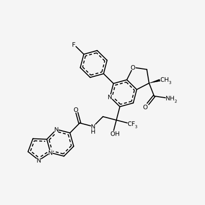 C[C@]1(C(N)=O)COc2c1cc(C(O)(CNC(=O)c1ccn3nccc3n1)C(F)(F)F)nc2-c1ccc(F)cc1